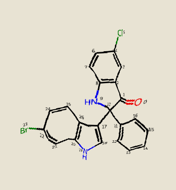 O=C1c2cc(Cl)ccc2NC1(c1ccccc1)c1c[nH]c2cc(Br)ccc12